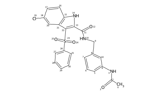 CC(=O)Nc1cccc(CNC(=O)c2[nH]c3ccc(Cl)cc3c2S(=O)(=O)c2ccccc2)c1